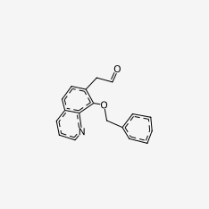 O=CCc1ccc2cccnc2c1OCc1ccccc1